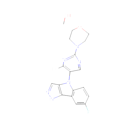 Cc1nc(N2CCO[C@@H](CO)C2)ncc1-n1c2ccc(F)cc2c2[nH]ncc21